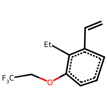 C=Cc1cccc(OCC(F)(F)F)c1CC